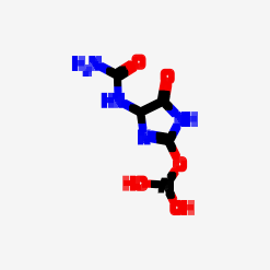 NC(=O)NC1N=C([O][Al]([OH])[OH])NC1=O